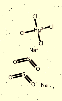 O=S=O.O=S=O.[Cl][Hg-2]([Cl])([Cl])[Cl].[Na+].[Na+]